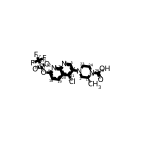 C[C@H]1CN(c2cnc3nc(OS(=O)(=O)C(F)(F)F)ccc3c2Cl)CCN1C(=O)O